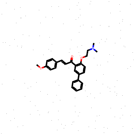 COc1ccc(/C=C/C(=O)c2cc(-c3ccccc3)ccc2OCCN(C)C)cc1